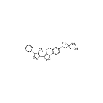 CC(N)(CO)CCc1ccc2c(c1)CCc1c-2noc1-c1noc(-c2ccccc2)c1C(F)(F)F